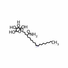 CCCCCCCC/C=C\CCCCCCC(CCCO[C@]1(CO)OC[C@@H](O)[C@@H](O)[C@@H]1O)C(N)=O